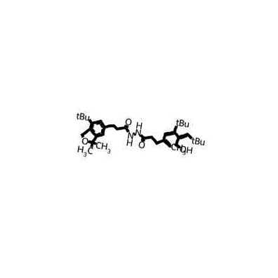 C\C=C(/C=C(\C(=C\C(C)(C)C)CO)C(C)(C)C)CCC(=O)NNC(=O)CCc1cc(C(C)(C)C)c2c(c1)C(C)(C)OC2